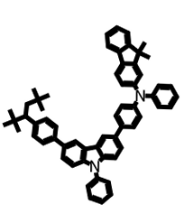 CC(C)(C)CC(c1ccc(-c2ccc3c(c2)c2cc(-c4ccc(N(c5ccccc5)c5ccc6c(c5)C(C)(C)c5ccccc5-6)cc4)ccc2n3-c2ccccc2)cc1)C(C)(C)C